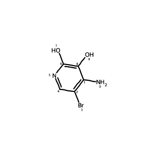 Nc1c(Br)cnc(O)c1O